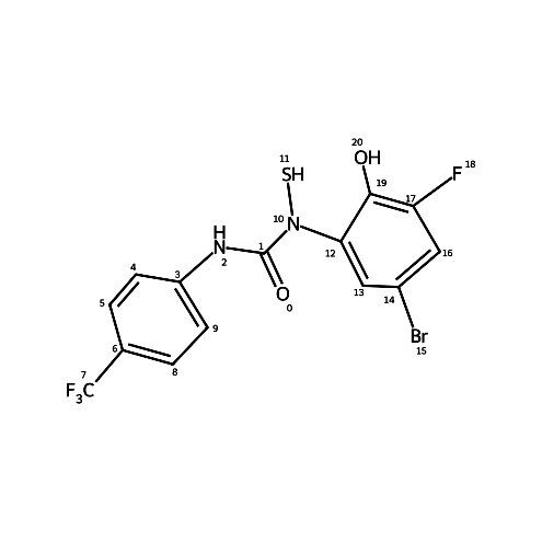 O=C(Nc1ccc(C(F)(F)F)cc1)N(S)c1cc(Br)cc(F)c1O